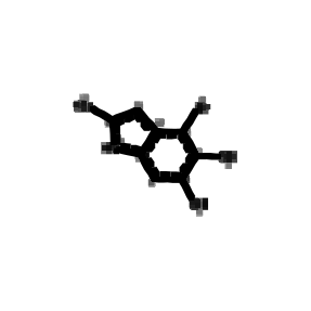 CC(C)c1c(O)c(O)cc2[nH]c(C(C)(C)C)cc12